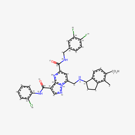 Cc1c(C(=O)O)ccc2c1CCC2NCc1cc(C(=O)NCc2ccc(F)c(F)c2)nc2c(C(=O)Nc3ccccc3Cl)cnn12